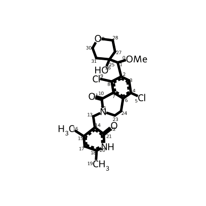 COC(c1cc(Cl)c2c(c1Cl)C(=O)N(Cc1c(C)cc(C)[nH]c1=O)CC2)C1(O)CCOCC1